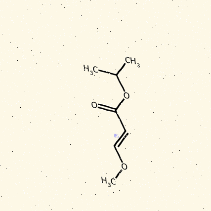 CO/C=C/C(=O)OC(C)C